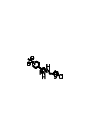 CS(=O)(=O)N1CCC(c2cc(NCc3ccc(Cl)s3)[nH]n2)CC1